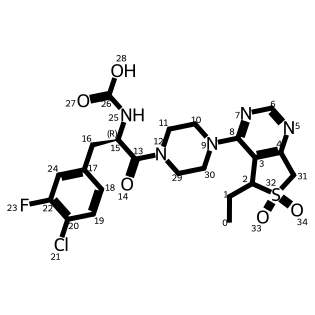 CCC1c2c(ncnc2N2CCN(C(=O)[C@@H](Cc3ccc(Cl)c(F)c3)NC(=O)O)CC2)CS1(=O)=O